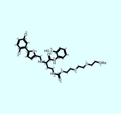 COCCOCCOCCOC(=O)NCCC(NCc1ccc(-c2cc(Cl)ccc2Cl)o1)C(=O)Nc1ccccc1C(=O)O